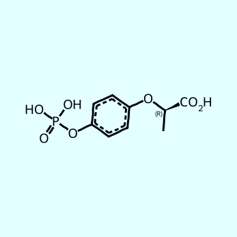 C[C@@H](Oc1ccc(OP(=O)(O)O)cc1)C(=O)O